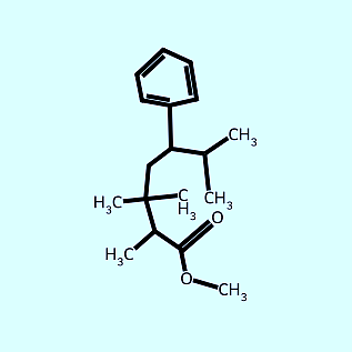 COC(=O)C(C)C(C)(C)CC(c1ccccc1)C(C)C